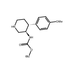 COc1ccc([C@H]2CCNC[C@@H]2NC(=O)OC(C)(C)C)cc1